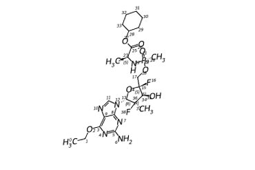 CCOc1nc(N)nc2c1ncn2[C@@H]1O[C@](F)(CO[P@](C)(=O)N[C@@H](C)C(=O)OC2CCCCC2)[C@@H](O)[C@@]1(C)F